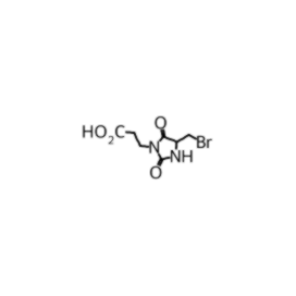 O=C(O)CCN1C(=O)NC(CBr)C1=O